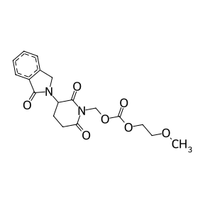 COCCOC(=O)OCN1C(=O)CCC(N2Cc3ccccc3C2=O)C1=O